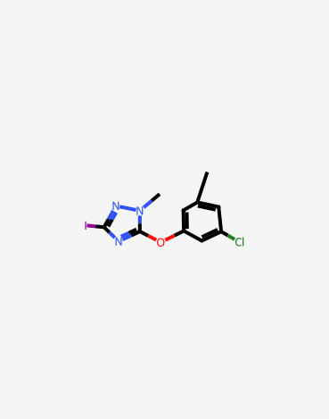 Cc1cc(Cl)cc(Oc2nc(I)nn2C)c1